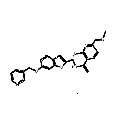 C=C(NCc1cc2ccc(OCc3cccnc3)cc2o1)c1ccc(COC)nc1N